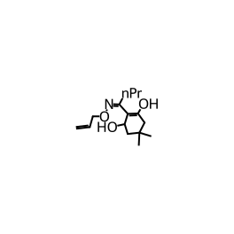 C=CCO/N=C(/CCC)C1=C(O)CC(C)(C)CC1O